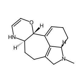 CN1CC2=C3C(=CCC[C@@H]31)[C@H]1OC=CN[C@@H]1CC2